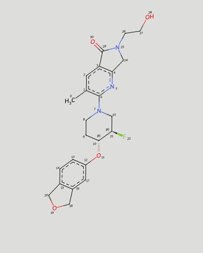 Cc1cc2c(nc1N1CC[C@@H](Oc3ccc4c(c3)COC4)[C@H](F)C1)CN(CCO)C2=O